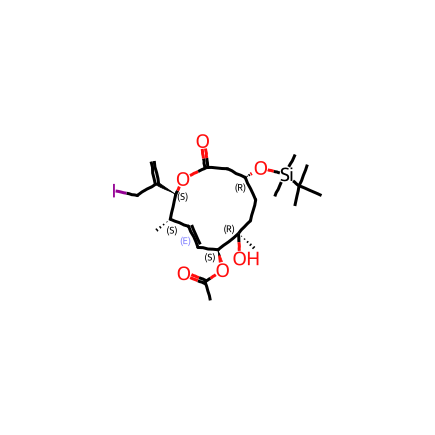 C=C(CI)[C@H]1OC(=O)C[C@H](O[Si](C)(C)C(C)(C)C)CC[C@@](C)(O)[C@@H](OC(C)=O)/C=C/[C@@H]1C